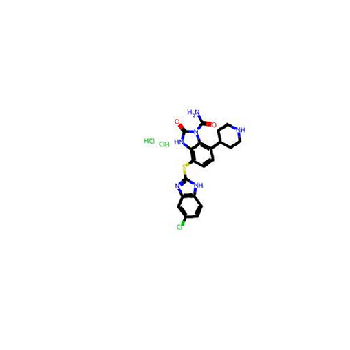 Cl.Cl.NC(=O)n1c(=O)[nH]c2c(Sc3nc4cc(Cl)ccc4[nH]3)ccc(C3CCNCC3)c21